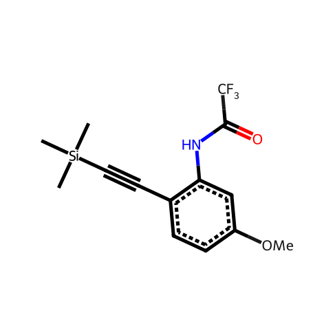 COc1ccc(C#C[Si](C)(C)C)c(NC(=O)C(F)(F)F)c1